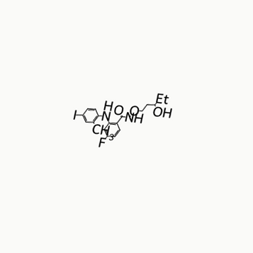 CCC(O)CCONC(=O)c1ccc(F)cc1Nc1ccc(I)cc1C